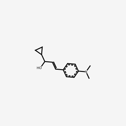 CN(C)c1ccc(C=CC(O)C2CC2)cc1